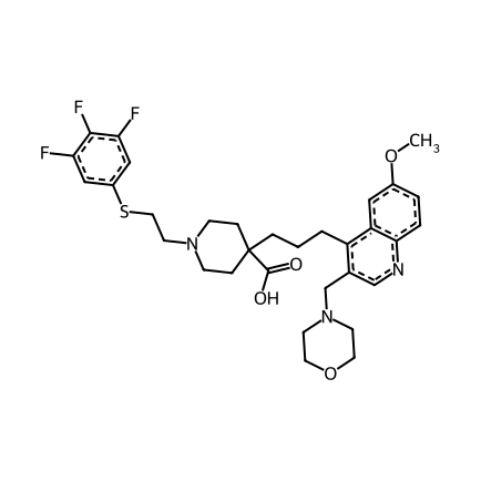 COc1ccc2ncc(CN3CCOCC3)c(CCCC3(C(=O)O)CCN(CCSc4cc(F)c(F)c(F)c4)CC3)c2c1